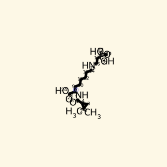 CC1(C)CC1C(=O)N/C(=C\CCCCCNCCP(=O)(O)O)C(=O)O